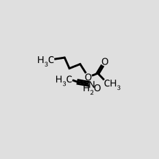 CC#N.CCCCOC(C)=O.O